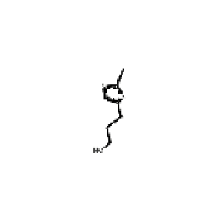 Cc1ncc(CCCO)s1